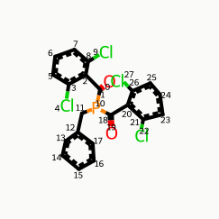 O=C(c1c(Cl)cccc1Cl)P(Cc1ccccc1)C(=O)c1c(Cl)cccc1Cl